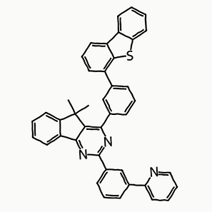 CC1(C)c2ccccc2-c2nc(-c3cccc(-c4ccccn4)c3)nc(-c3cccc(-c4cccc5c4sc4ccccc45)c3)c21